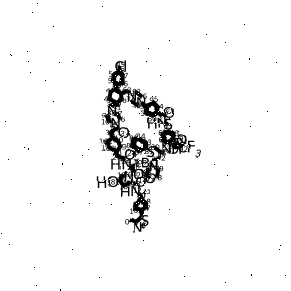 Cc1ncsc1-c1ccc([C@H](C)NC(=O)[C@@H]2C[C@@H](O)CN2C(=O)[C@@H](NC(=O)CC2CCC(CC(=O)N3CCN(CC4(C)CCC(c5ccc(Cl)cc5)=C(CN5CCN(c6ccc(C(=O)NSc7ccc(N[C@H](CCN8CCOCC8)CSc8ccccc8)c(S(=O)(=O)C(F)(F)F)c7)cc6)CC5)C4)CC3)CC2)C(C)(C)C)cc1